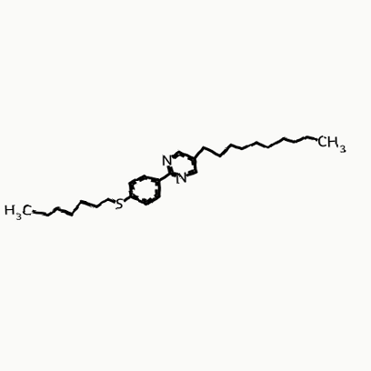 CCCCCCCCCCc1cnc(-c2ccc(SCCCCCCC)cc2)nc1